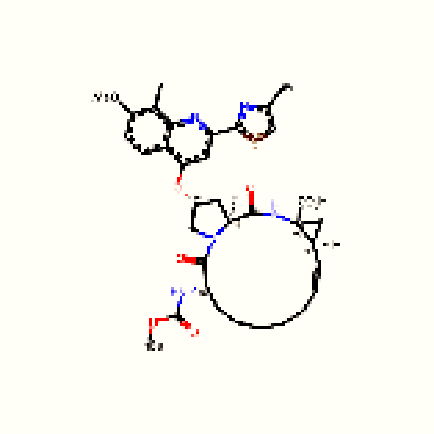 COc1ccc2c(O[C@@H]3C[C@H]4C(=O)N[C@]5(C(=O)O)C[C@H]5C=CCCCCC[C@H](NC(=O)OC(C)(C)C)C(=O)N4C3)cc(-c3nc(C(C)C)cs3)nc2c1C